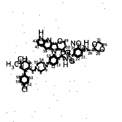 CC1(C)CCC(CN2CCN(c3ccc(C(=O)NS(=O)(=O)c4ccc(NC[C@H]5COCCO5)c([N+](=O)[O-])c4)c(N4c5cc6cc[nH]c6nc5C5OCCCC54)c3)CC2)=C(c2ccc(Cl)cc2)C1